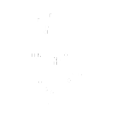 CCOC(=O)CC(C(=O)Nc1cc(-c2ccccc2OC(F)F)c(Cl)cc1N)c1ccc(S(=O)(=O)CC2CC2)cc1